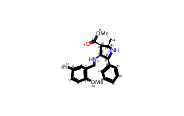 COC(=O)[C@@H]1[C@H](NCc2cc(C(C)C)ccc2OC)[C@H](c2ccccc2)N[C@@H]1C